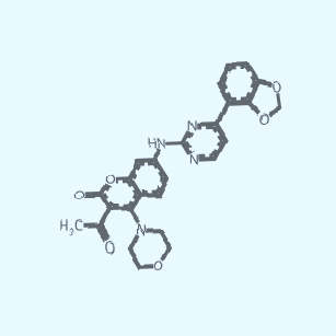 CC(=O)c1c(N2CCOCC2)c2ccc(Nc3nccc(-c4cccc5c4OCO5)n3)cc2oc1=O